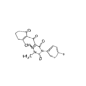 Cn1nc(C(=O)C2=C(O)CCCC2=O)c(=O)n(-c2ccc(F)cc2)c1=O